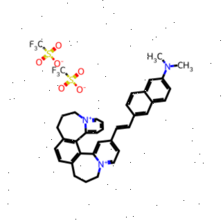 CN(C)c1ccc2cc(/C=C/c3cc[n+]4c(c3)-c3c(ccc5c3-c3cccc[n+]3CCC5)CCC4)ccc2c1.O=S(=O)([O-])C(F)(F)F.O=S(=O)([O-])C(F)(F)F